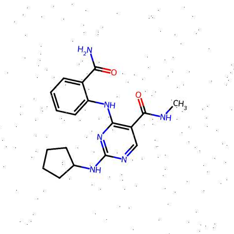 CNC(=O)c1cnc(NC2CCCC2)nc1Nc1ccccc1C(N)=O